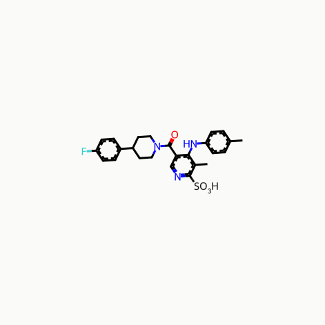 Cc1ccc(Nc2c(C(=O)N3CCC(c4ccc(F)cc4)CC3)cnc(S(=O)(=O)O)c2C)cc1